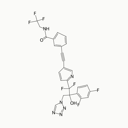 O=C(NCC(F)(F)F)c1cccc(C#Cc2ccc(C(F)(F)C(O)(Cn3cnnn3)c3ccc(F)cc3F)nc2)c1